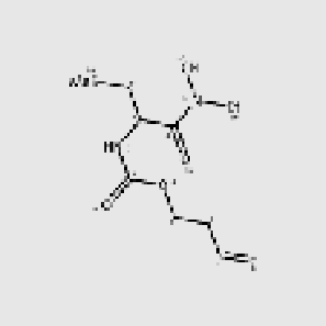 C=CCCOC(=O)NC(CSC)C(=O)N(C#N)CC